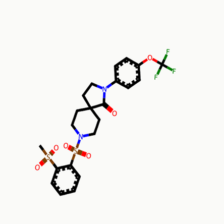 CS(=O)(=O)c1ccccc1S(=O)(=O)N1CCC2(CCN(c3ccc(OC(F)(F)F)cc3)C2=O)CC1